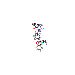 CC(Oc1ccccc1F)C1CCN(Cc2nccnc2OC(C)(C)C)CC1